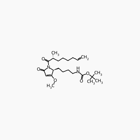 C=CCCCC[C@@H](C)C(=O)N1C(=O)C=C(OC)[C@@H]1CCCCNC(=O)OC(C)(C)C